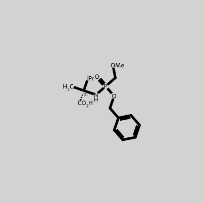 COCP(=O)(N[C@](C)(C(=O)O)C(C)C)OCc1ccccc1